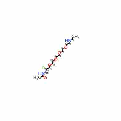 CCNCCOCCOCCOCCOCC(F)CNC(C)=O